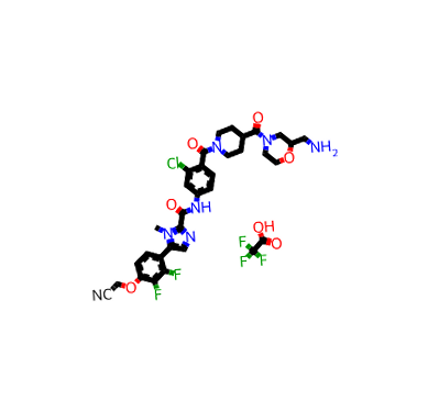 Cn1c(-c2ccc(OCC#N)c(F)c2F)cnc1C(=O)Nc1ccc(C(=O)N2CCC(C(=O)N3CCOC(CN)C3)CC2)c(Cl)c1.O=C(O)C(F)(F)F